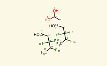 CC(O)O.O=S(=O)(O)CC(F)(F)C(F)C(F)(F)F.O=S(=O)(O)CC(F)(F)C(F)C(F)(F)F